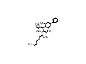 C\C=C/C=C(\C(=C/C)N(C(C)=O)/C(C)=C/CC/C=C\C)C1C=CC(c2ccccc2)=CC1C